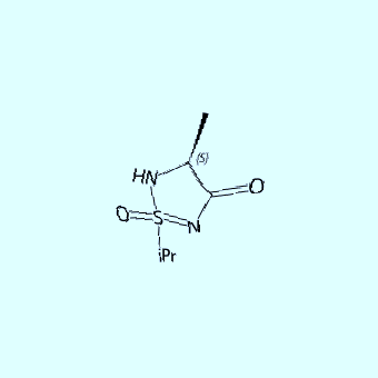 CC(C)S1(=O)=NC(=O)[C@H](C)N1